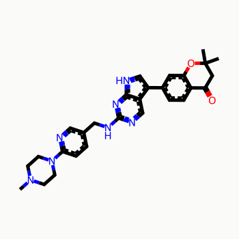 CN1CCN(c2ccc(CNc3ncc4c(-c5ccc6c(c5)OC(C)(C)CC6=O)c[nH]c4n3)cn2)CC1